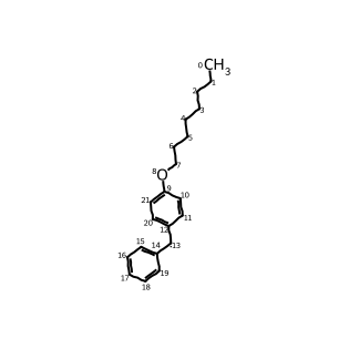 CCCCCCCCOc1ccc([CH]c2ccccc2)cc1